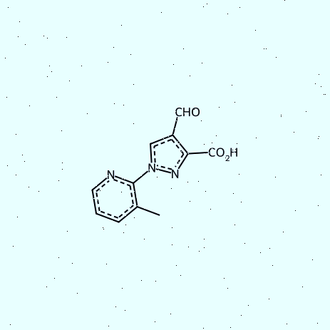 Cc1cccnc1-n1cc(C=O)c(C(=O)O)n1